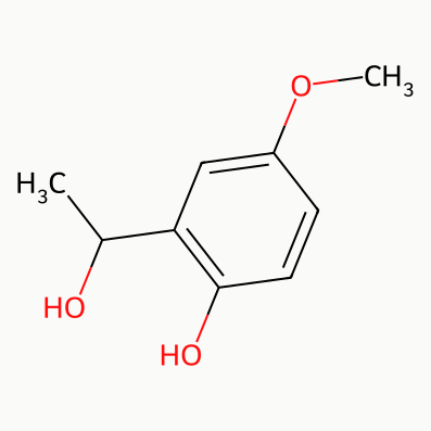 COc1ccc(O)c(C(C)O)c1